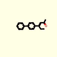 CCC(=CC(C)=O)c1ccc(-c2ccccc2)cc1